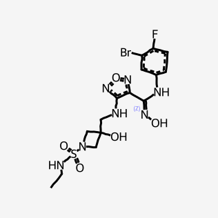 CCNS(=O)(=O)N1CC(O)(CNc2nonc2/C(=N/O)Nc2ccc(F)c(Br)c2)C1